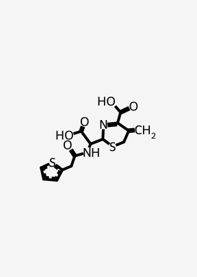 C=C1CSC(C(NC(=O)Cc2cccs2)C(=O)O)N=C1C(=O)O